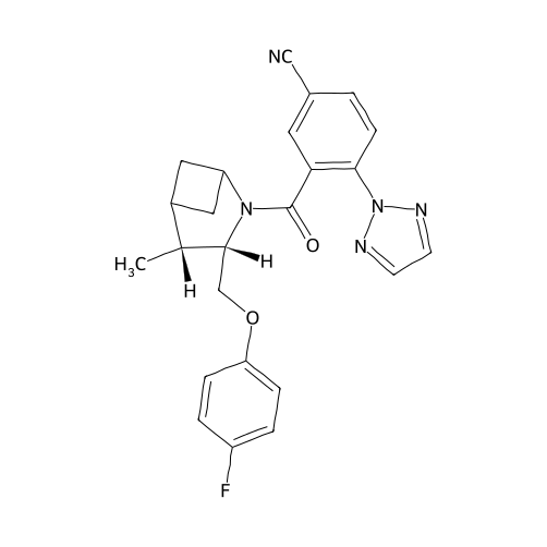 C[C@@H]1C2CC(C2)N(C(=O)c2cc(C#N)ccc2-n2nccn2)[C@@H]1COc1ccc(F)cc1